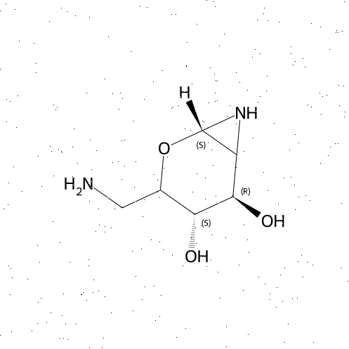 NCC1O[C@@H]2NC2[C@@H](O)[C@@H]1O